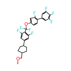 COCC1CCC(c2cc(F)c(C(F)(F)Oc3ccc(-c4cc(F)c(F)c(F)c4)c(F)c3)c(F)c2)CC1